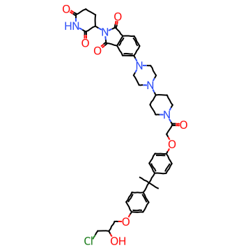 CC(C)(c1ccc(OCC(=O)N2CCC(N3CCN(c4ccc5c(c4)C(=O)N(C4CCC(=O)NC4=O)C5=O)CC3)CC2)cc1)c1ccc(OCC(O)CCl)cc1